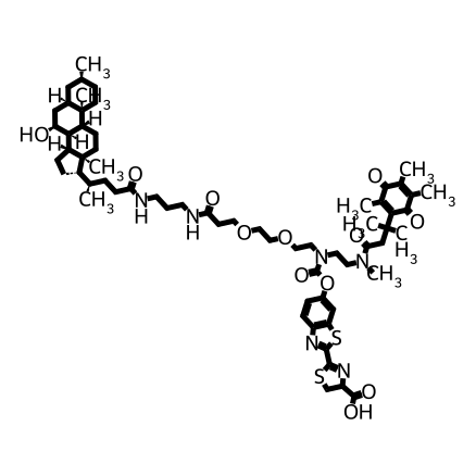 CC1=C(C)C(=O)C(C(C)(C)CC(=O)N(C)CCN(CCOCCOCCC(=O)NCCCNC(=O)CC[C@H](C)[C@@H]2CC[C@@H]3[C@@H]4[C@@H](CC[C@]32C)[C@]2(C)CC[C@H](C)C[C@@H]2C[C@@H]4O)C(=O)Oc2ccc3nc(C4=NC(C(=O)O)CS4)sc3c2)=C(C)C1=O